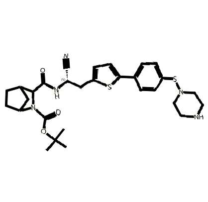 CC(C)(C)OC(=O)N1C2CCC(C2)C1C(=O)N[C@H](C#N)Cc1ccc(-c2ccc(SN3CCNCC3)cc2)s1